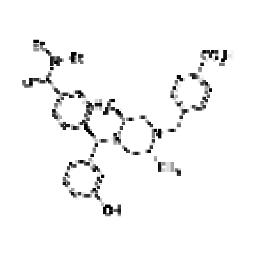 CCN(CC)C(=O)c1ccc([C@H](c2cccc(O)c2)N2C[C@@H](C)N(Cc3ccc(C(=O)O)cc3)C[C@@H]2C)cc1